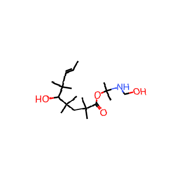 CC=CC(C)(C)C(O)C(C)(C)CC(C)(C)C(=O)OC(C)(C)NCO